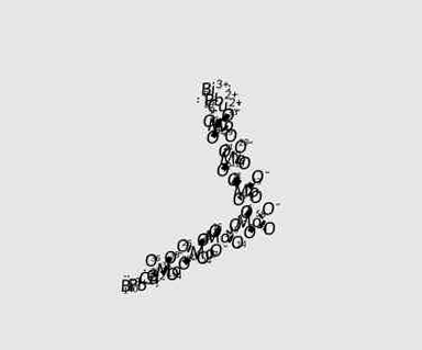 [Bi+3].[Bi+3].[Cu+2].[Cu+2].[O]=[Mo](=[O])([O-])[O-].[O]=[Mo](=[O])([O-])[O-].[O]=[Mo](=[O])([O-])[O-].[O]=[Mo](=[O])([O-])[O-].[O]=[Mo](=[O])([O-])[O-].[O]=[Mo](=[O])([O-])[O-].[O]=[Mo](=[O])([O-])[O-].[Pb+2].[Pb+2]